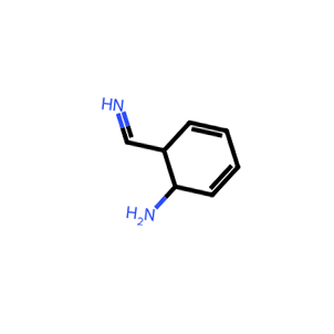 N=CC1C=CC=CC1N